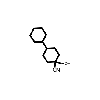 CCCC1(C#N)CCC(C2CCCCC2)CC1